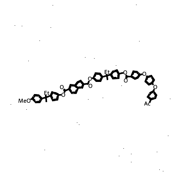 CCC(C)(c1ccc(OC)cc1)c1ccc(OC(=O)c2ccc3cc(C(=O)Oc4ccc(C(C)(CC)c5ccc(OC(=O)c6ccc(Oc7ccc(Oc8ccc(C(C)=O)cc8)cc7)cc6)cc5)cc4)ccc3c2)cc1